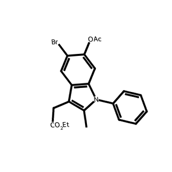 CCOC(=O)Cc1c(C)n(-c2ccccc2)c2cc(OC(C)=O)c(Br)cc12